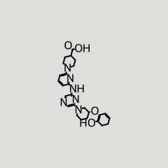 O=C(O)C1CCN(c2cccc(Nc3cncc(N4CCC[C@@H](OC5=C(O)CCC=C5)C4)n3)n2)CC1